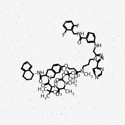 C[C@@H](C(=O)N[C@H](C(=O)N1Cc2cc(OCCC(=O)N(C)CCCn3c(CNc4cccc(C(=O)NCc5c(F)cccc5F)c4)nnc3-c3ccncn3)ccc2CC1C(=O)N[C@@H]1CCCc2ccccc21)C(C)(C)C)N(C)C(=O)OC(C)(C)C